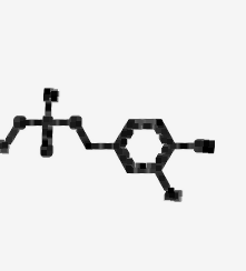 CCOP(=O)(CC)OCc1ccc(O)c(C(C)=O)c1